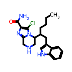 CCCCC(Cc1c[nH]c2ccccc12)C1CNCc2nc(C(N)=O)c(Cl)n21